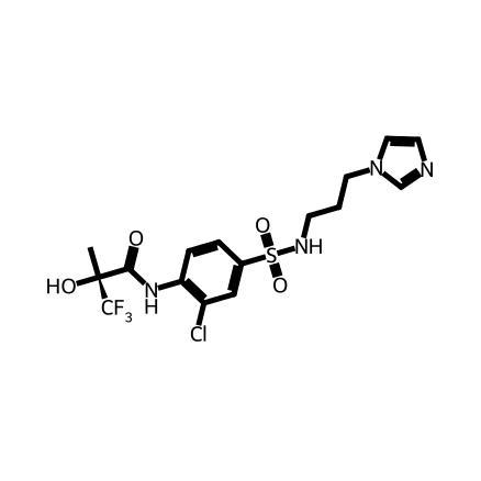 C[C@@](O)(C(=O)Nc1ccc(S(=O)(=O)NCCCn2ccnc2)cc1Cl)C(F)(F)F